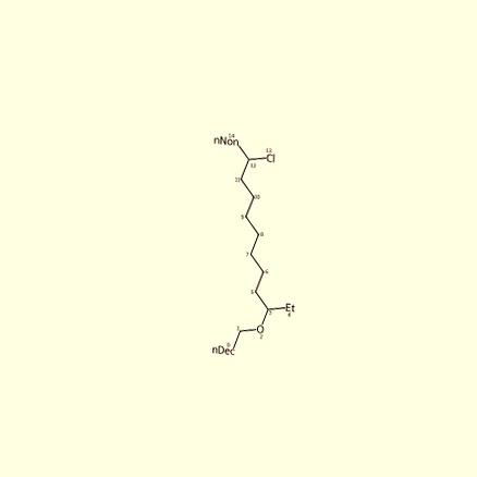 CCCCCCCCCCCOC(CC)CCCCCCCC(Cl)CCCCCCCCC